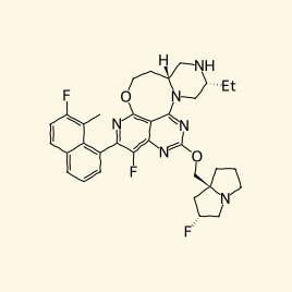 CC[C@@H]1CN2c3nc(OC[C@@]45CCCN4C[C@H](F)C5)nc4c(F)c(-c5cccc6ccc(F)c(C)c56)nc(c34)OCC[C@@H]2CN1